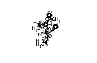 CCC[C@H](NC[C@H](Cc1ccccc1)NC(=O)c1cc(C(=O)N[C@H](C)c2ccccc2)cc(N(C)S(C)(=O)=O)c1)C(=O)NCC1CC1(C)C